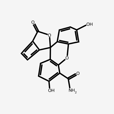 NC(=O)c1c(O)ccc2c1Oc1cc(O)ccc1C21OC(=O)c2ccccc21